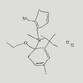 CCOC1([Si](C)(C)C2=[C]([Ti+2])CC=C2)CC=C(C)C=C1C(C)(C)C.[Cl-].[Cl-]